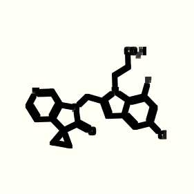 O=C(O)CCn1c(CN2C(=O)C3(CC3)c3ccncc32)cc2cc(Cl)cc(F)c21